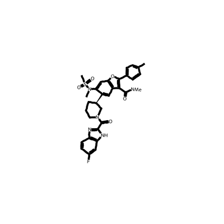 CNC(=O)c1c(-c2ccc(C)cc2)oc2cc(N(C)S(C)(=O)=O)c([C@@H]3CCCN(C(=O)c4nc5ccc(F)cc5[nH]4)C3)cc12